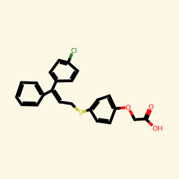 O=C(O)COc1ccc(SC/C=C(/c2ccccc2)c2ccc(Cl)cc2)cc1